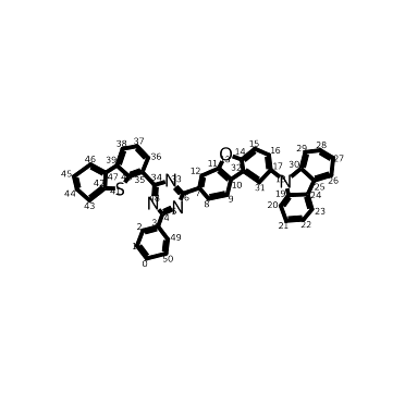 c1ccc(-c2nc(-c3ccc4c(c3)oc3ccc(-n5c6ccccc6c6ccccc65)cc34)nc(-c3cccc4c3sc3ccccc34)n2)cc1